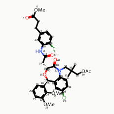 COC(=O)CCc1ccc(Cl)c(NC(=O)C[C@H]2O[C@H](c3cccc(OC)c3OC)c3cc(Cl)ccc3N(CC(C)(C)COC(C)=O)C2=O)c1